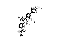 Cc1ncc(-c2ccc(C(C)(C)C(=O)Cc3cccc(C(=O)NC4CC4)n3)c(C)c2)cn1